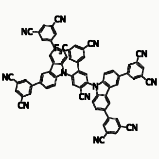 N#Cc1cc(C#N)cc(-c2ccc3c(c2)c2cc(-c4cc(C#N)cc(C#N)c4)ccc2n3-c2cc(-c3cc(C#N)cc(C(F)(F)F)c3)c(-n3c4ccc(-c5cc(C#N)cc(C#N)c5)cc4c4cc(-c5cc(C#N)cc(C#N)c5)ccc43)cc2C#N)c1